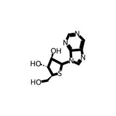 OC[C@@H]1SC(n2cnc3cncnc32)[C@H](O)[C@H]1O